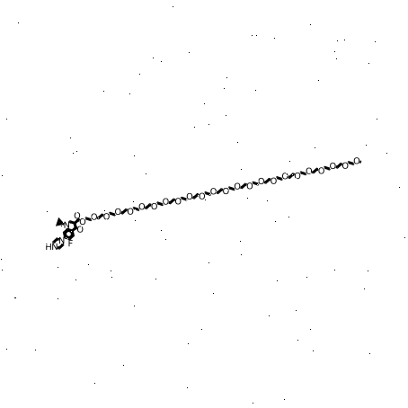 COCCOCCOCCOCCOCCOCCOCCOCCOCCOCCOCCOCCOCCOCCOCCOCCOCCOCCOCCOCCOCCOCCOCCOC(=O)C1CN(C2CC2)c2cc(N3CCNCC3)c(F)cc2C1=O